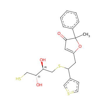 CC1(c2ccccc2)OC(CC(SC[C@H](O)[C@H](O)CS)c2ccsc2)=CC1=O